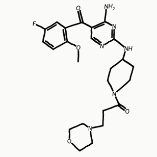 COc1ccc(F)cc1C(=O)c1cnc(NC2CCN(C(=O)CCN3CCOCC3)CC2)nc1N